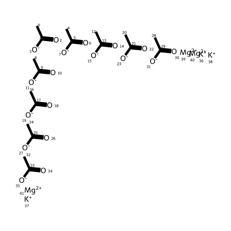 CC(=O)[O-].CC(=O)[O-].CC(=O)[O-].CC(=O)[O-].CC(=O)[O-].CC(=O)[O-].CC(=O)[O-].CC(=O)[O-].CC(=O)[O-].[K+].[K+].[K+].[Mg+2].[Mg+2].[Mg+2]